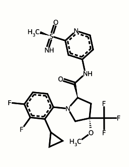 CO[C@@]1(C(F)(F)F)C[C@H](C(=O)Nc2ccnc([S@](C)(=N)=O)c2)N(c2ccc(F)c(F)c2C2CC2)C1